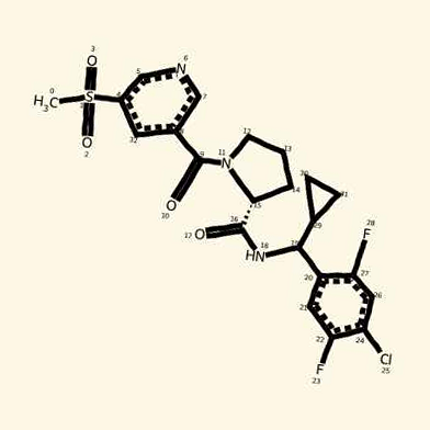 CS(=O)(=O)c1cncc(C(=O)N2CCC[C@@H]2C(=O)NC(c2cc(F)c(Cl)cc2F)C2CC2)c1